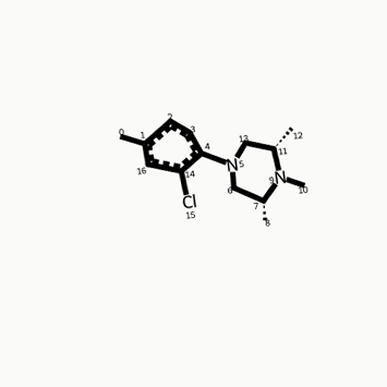 Cc1ccc(N2C[C@@H](C)N(C)[C@@H](C)C2)c(Cl)c1